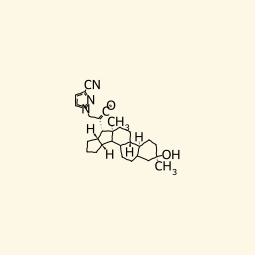 C[C@@]1(O)CC[C@H]2C(CCC3C4[C@@H]5CCC[C@@H]5[C@H](C(=C=O)Cn5ccc(C#N)n5)[C@@]4(C)CC[C@@H]32)C1